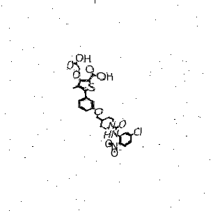 Cc1c(-c2cccc(OCC3CCN(C(=O)Nc4cc(Cl)ccc4[N+](=O)[O-])CC3)c2)sc(C(=O)O)c1OCC(=O)O